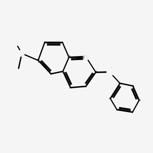 OB(O)c1ccc2nc(Oc3ccccc3)ccc2c1